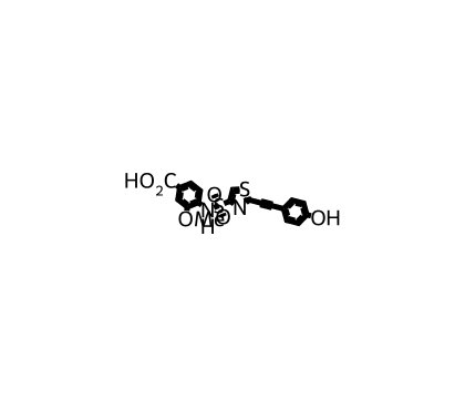 COc1cc(C(=O)O)ccc1NS(=O)(=O)c1csc(C#Cc2ccc(O)cc2)n1